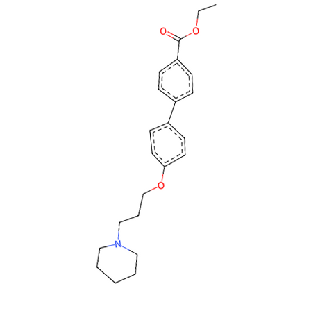 CCOC(=O)c1ccc(-c2ccc(OCCCN3CCCCC3)cc2)cc1